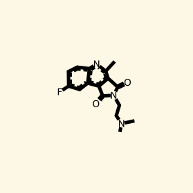 Cc1nc2ccc(F)cc2c2c1C(=O)N(CCN(C)C)C2=O